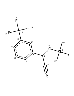 C[Si](C)(C)OC(C#N)c1cccc(C(F)(F)F)c1